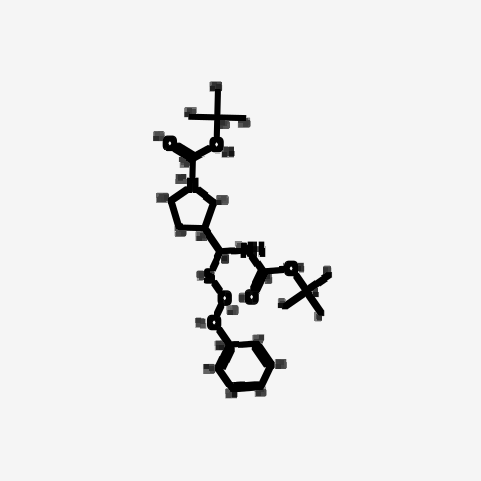 CC(C)(C)OC(=O)NC(SOOc1ccccc1)C1CCN(C(=O)OC(C)(C)C)C1